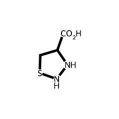 O=C(O)C1CSNN1